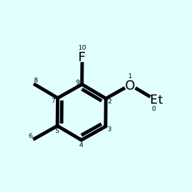 CCOc1ccc(C)c(C)c1F